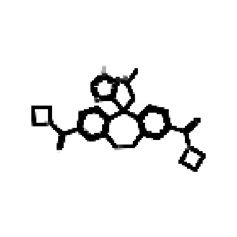 C[C@H](N)CC1(c2nn[nH]n2)c2ccc(C(=O)N3CCC3)cc2CCc2cc(C(=O)N3CCC3)ccc21